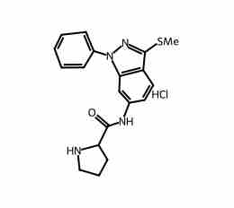 CSc1nn(-c2ccccc2)c2cc(NC(=O)C3CCCN3)ccc12.Cl